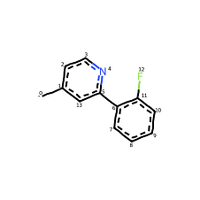 [CH2]c1ccnc(-c2ccccc2F)c1